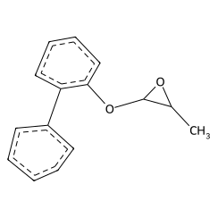 CC1OC1Oc1ccccc1-c1ccccc1